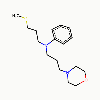 CSCCCN(CCCN1CCOCC1)c1ccccc1